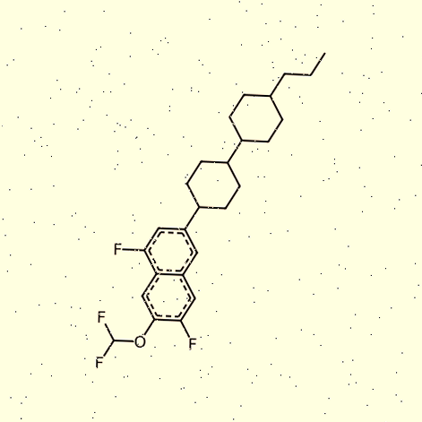 CCCC1CCC(C2CCC(c3cc(F)c4cc(OC(F)F)c(F)cc4c3)CC2)CC1